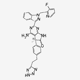 C[C@@]1(c2ccc(CCc3nn[nH]n3)cc2)C(=O)Nc2nc(-c3nn(Cc4ncccc4F)c4ccccc34)nc(N)c21